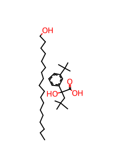 CC(C)(C)CC(O)(C(=O)O)c1cccc(C(C)(C)C)c1.CCCCCCCCCCCCCCCCCCO